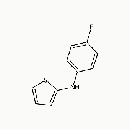 Fc1ccc(Nc2cccs2)cc1